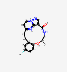 C[C@H]1CNC(=O)c2cnn3ccc(nc23)CCc2cc(F)ccc2O1